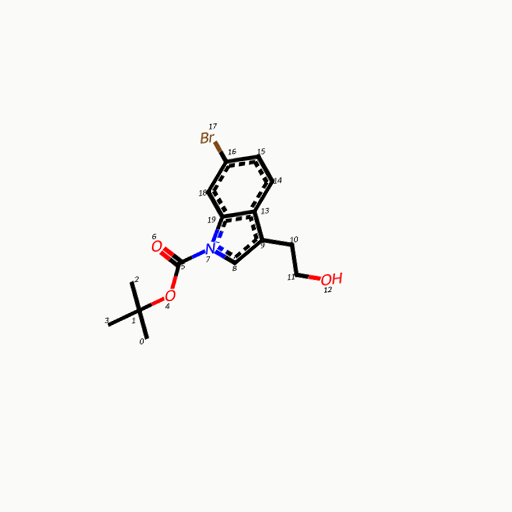 CC(C)(C)OC(=O)n1cc(CCO)c2ccc(Br)cc21